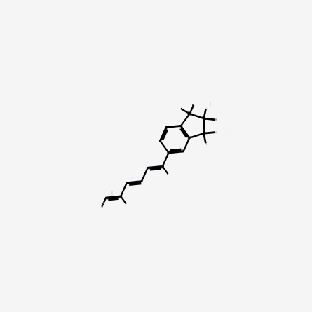 CC(/C=C/C=C(\C)c1ccc2c(c1)C(C)(C)C(C)(C)C2(C)C)=C\C(=O)O